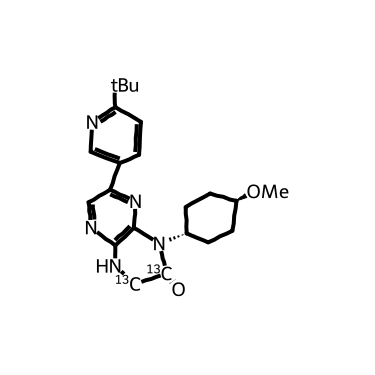 CO[C@H]1CC[C@H](N2c3nc(-c4ccc([13C](C)([13CH3])[13CH3])nc4)cnc3N[13CH2][13C]2=O)CC1